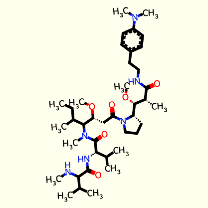 CCC(C)C([C@@H](CC(=O)N1CCC[C@H]1[C@H](OC)[C@@H](C)C(=O)NCCc1ccc(N(C)C)cc1)OC)N(C)C(=O)[C@@H](NC(=O)C(NC)C(C)C)C(C)C